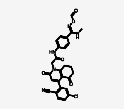 CN/C(=N\OC=O)c1ccc(NC(=O)Cn2c3c(c(-c4cc(Cl)ccc4C#N)cc2=O)C(=O)CCC3)cc1